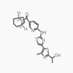 Cc1nc(C(C)O)sc1-c1csc(Nc2ccc(C(=O)N3[C@@H]4CCC[C@H]3CC4)cn2)n1